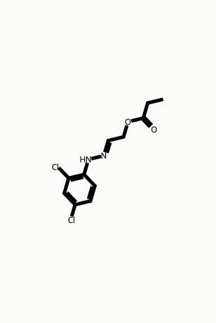 CCC(=O)OC/C=N/Nc1ccc(Cl)cc1Cl